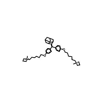 C[N+]1(CCCCCCOc2ccc(C(=C3C4CC5CC(C4)CC3C5)c3ccc(OCCCCCC[N+]4(C)CCC4)cc3)cc2)CCC1